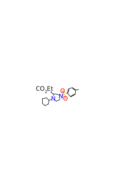 CCOC(=O)CC1CN(S(=O)(=O)c2ccc(C)cc2)CCN1C1CCCCC1